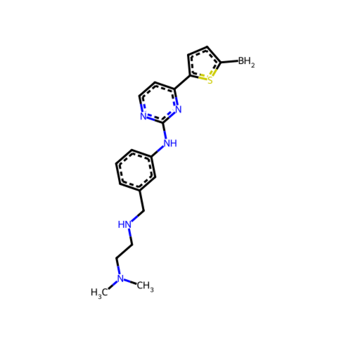 Bc1ccc(-c2ccnc(Nc3cccc(CNCCN(C)C)c3)n2)s1